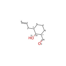 C=CCC1CCCC(C=O)C1O